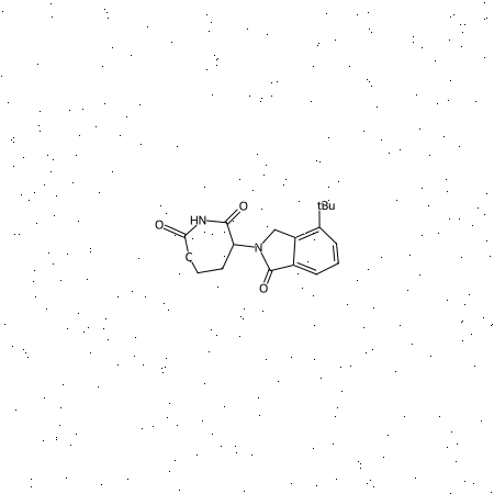 CC(C)(C)c1cccc2c1CN(C1CCCC(=O)NC1=O)C2=O